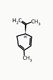 C=C(C)[C@H]1C=CC(C)=CC1